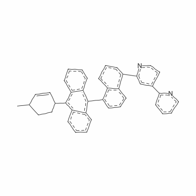 CC1C=CC(c2c3ccccc3c(-c3cccc4c(-c5cc(-c6ccccn6)ccn5)cccc34)c3ccccc23)CC1